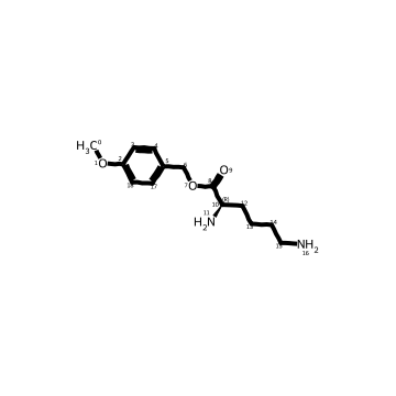 COc1ccc(COC(=O)[C@H](N)CCCCN)cc1